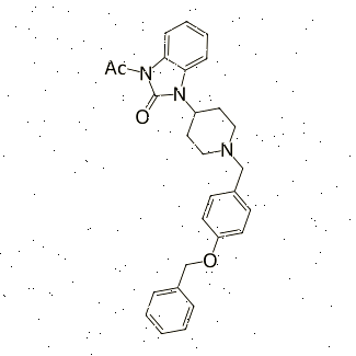 CC(=O)n1c(=O)n(C2CCN(Cc3ccc(OCc4ccccc4)cc3)CC2)c2ccccc21